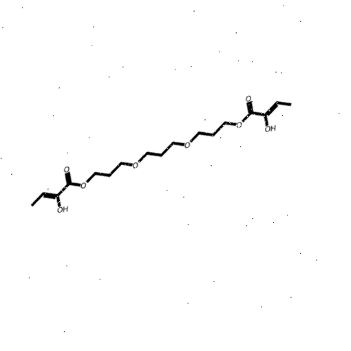 CC=C(O)C(=O)OCCCOCCCOCCCOC(=O)C(O)=CC